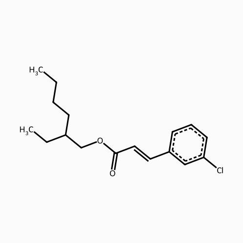 CCCCC(CC)COC(=O)/C=C/c1cccc(Cl)c1